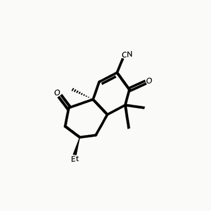 CC[C@H]1CC(=O)[C@@]2(C)C=C(C#N)C(=O)C(C)(C)C2C1